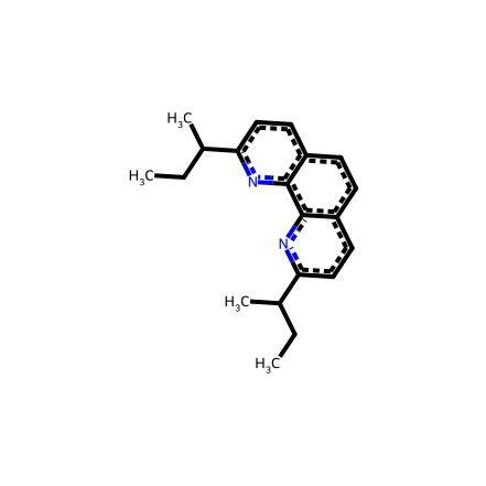 CCC(C)c1ccc2ccc3ccc(C(C)CC)nc3c2n1